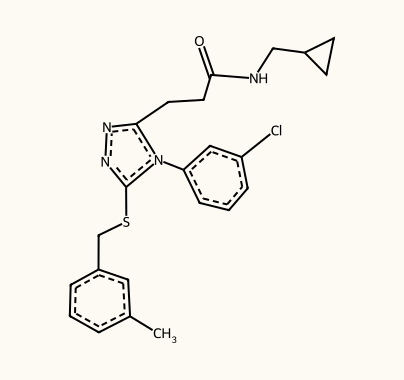 Cc1cccc(CSc2nnc(CCC(=O)NCC3CC3)n2-c2cccc(Cl)c2)c1